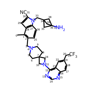 Cc1c(CN2CCC3(CC2)CN(c2ncnc4ccc(CC(F)(F)F)cc24)C3)ccc2c1cc(C#N)n2CC12CC(N)(C1)C2